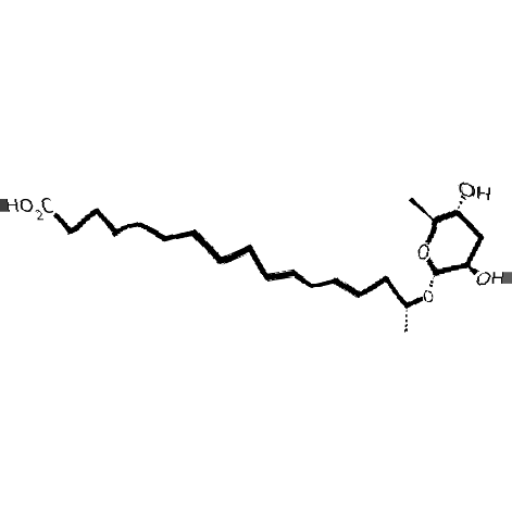 C[C@H](CCCCCCCCCCCCCCC(=O)O)O[C@@H]1O[C@@H](C)[C@H](O)C[C@H]1O